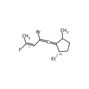 CC[C@H]1CCC(C)C1=C=C(Br)/C=C(\C)F